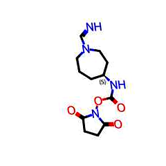 N=CN1CCC[C@H](NC(=O)ON2C(=O)CCC2=O)CC1